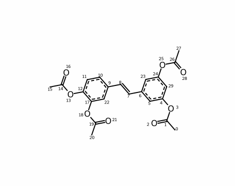 CC(=O)Oc1cc(C=Cc2ccc(OC(C)=O)c(OC(C)=O)c2)cc(OC(C)=O)c1